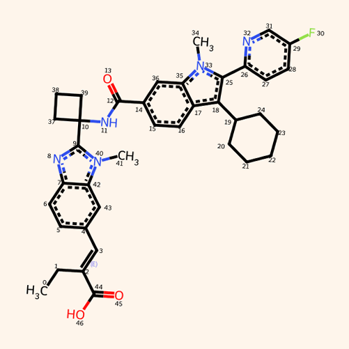 CC/C(=C\c1ccc2nc(C3(NC(=O)c4ccc5c(C6CCCCC6)c(-c6ccc(F)cn6)n(C)c5c4)CCC3)n(C)c2c1)C(=O)O